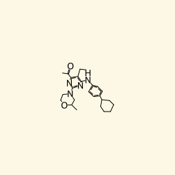 CCc1c(Nc2ccc(C3CCCCC3)cc2)nc(N2CCOC(C)C2)nc1C(C)=O